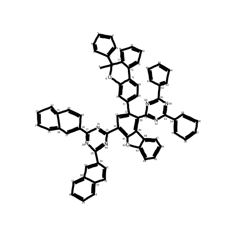 CC1(c2ccccc2)Oc2cc(-c3cc(-c4nc(-c5ccc6ccccc6c5)nc(-c5ccc6ccccc6c5)n4)c4oc5ccccc5c4c3-c3nc(-c4ccccc4)nc(-c4ccccc4)n3)ccc2-c2ccccc21